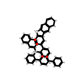 C1=Cc2cc3oc4ccc(-c5ccccc5N(c5ccc6ccccc6c5)c5ccccc5-c5ccc(-c6ccccc6)cc5)cc4c3cc2CC1